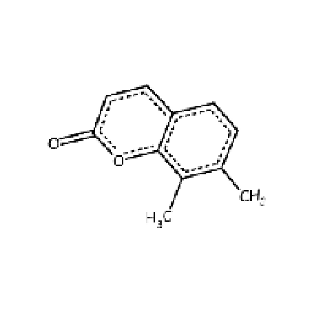 Cc1ccc2ccc(=O)oc2c1C